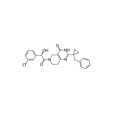 O=C([C@H](O)c1cccc(Cl)c1)N1CCc2nc(C3(Cc4ccccc4)CC3)[nH]c(=O)c2C1